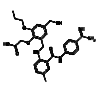 CCCOc1cc(CO)cc(CNc2ccc(C)cc2C(=O)Nc2ccc(C(=N)N)cc2)c1OCC(=O)O